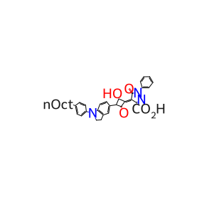 CCCCCCCCc1ccc(N2CCc3cc(C4C(=O)/C(=C5/C(=O)N(c6ccccc6)N=C5C(=O)O)C4O)ccc32)cc1